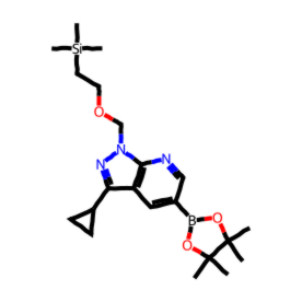 CC1(C)OB(c2cnc3c(c2)c(C2CC2)nn3COCC[Si](C)(C)C)OC1(C)C